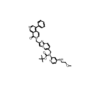 COCCNc1ccnc(N(Cc2ccc3nc(Cn4ccc5c(-c6ccccc6)cncc5c4=O)cn3c2)C(=O)OC(C)(C)C)c1